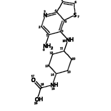 Nc1cnc2ccsc2c1NC1CCC(NC(=O)O)CC1